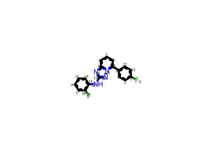 Fc1ccc(-c2cccc3nc(Nc4ccccc4F)nn23)cc1